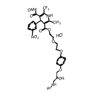 COC(=O)C1=C(C(F)(F)F)NC(C)=C(C(=O)OCCOCCOc2ccc(OCC(O)CNC(C)C)cc2)C1c1cccc([N+](=O)[O-])c1.Cl